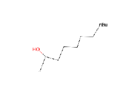 [CH2]CCCCCCCCC([CH2])O